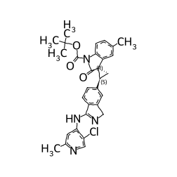 Cc1ccc2c(c1)[C@]1(C[C@H]1c1ccc3c(c1)CN=C3Nc1cc(C)ncc1Cl)C(=O)N2C(=O)OC(C)(C)C